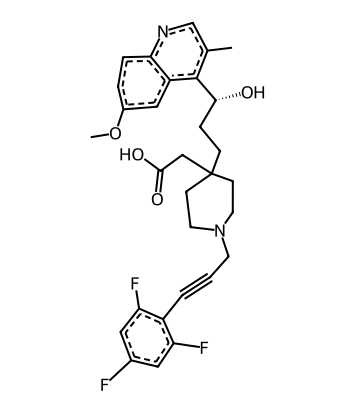 COc1ccc2ncc(C)c([C@H](O)CCC3(CC(=O)O)CCN(CC#Cc4c(F)cc(F)cc4F)CC3)c2c1